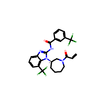 C=CC(=O)N1CCCC[C@@H](n2c(NC(=O)c3cccc(C(F)(F)F)c3)nc3cccc(C(F)(F)F)c32)C1